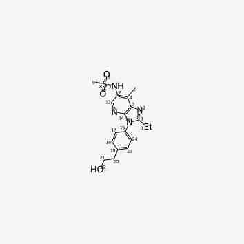 CCc1nc2c(C)c(NS(C)(=O)=O)cnc2n1-c1ccc(CCO)cc1